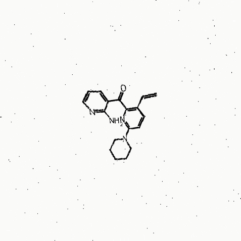 C=Cc1ccc(N2CCCCC2)nc1C(=O)c1cccnc1N